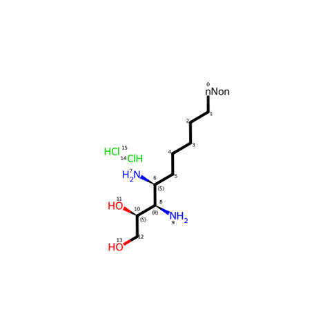 CCCCCCCCCCCCCC[C@H](N)[C@@H](N)[C@H](O)CO.Cl.Cl